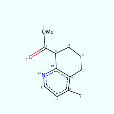 COC(=O)C1CCCc2c(C)ccnc21